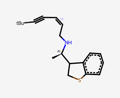 C[C@@H](NC/C=C\C#CC(C)(C)C)C1CSc2ccccc21